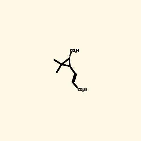 CCOC(=O)C=CC1[C@@H](C(=O)O)C1(C)C